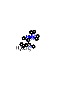 CC1(C)c2ccccc2-c2cc3c(-c4cc(C5=NC(c6cccc7ccccc67)=NC(c6cccc7ccccc67)N5)cc(-c5ccccc5)c4)cc(-c4ccccc4)nc3cc21